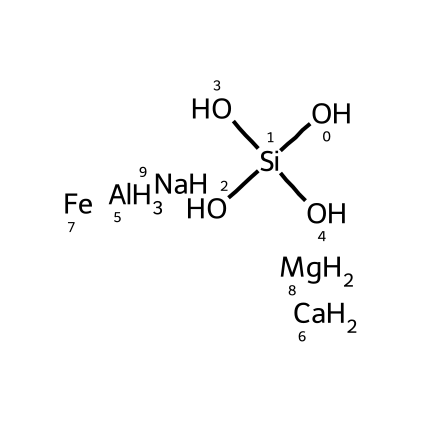 O[Si](O)(O)O.[AlH3].[CaH2].[Fe].[MgH2].[NaH]